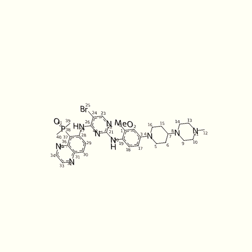 COc1cc(N2CCC(N3CCN(C)CC3)CC2)ccc1Nc1ncc(Br)c(Nc2ccc3nccnc3c2P(C)(C)=O)n1